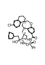 CCCC[C@](O)(Cc1ccccc1)[C@@H]1CC[C@H]1CN1C[C@@]2(CCCc3cc(Cl)ccc32)COc2ccc(C(=O)NS(=O)(=O)C(C)C)cc21